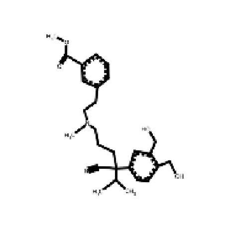 COC(=O)c1cccc(CCN(C)CCCC(C#N)(c2ccc(CO)c(CO)c2)C(C)C)c1